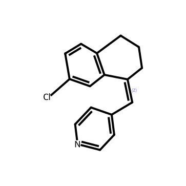 Clc1ccc2c(c1)/C(=C\c1ccncc1)CCC2